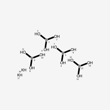 OB(O)O.OB(O)O.OB(O)O.OB(O)O.[KH].[KH]